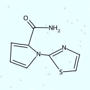 NC(=O)c1cccn1-c1nccs1